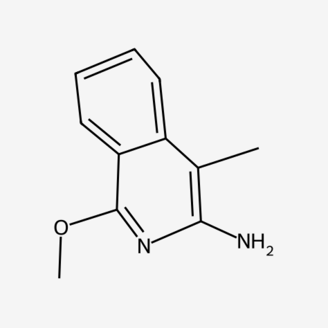 COc1nc(N)c(C)c2ccccc12